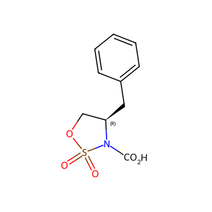 O=C(O)N1[C@H](Cc2ccccc2)COS1(=O)=O